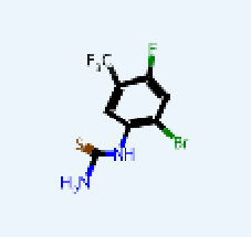 NC(=S)Nc1cc(C(F)(F)F)c(F)cc1Br